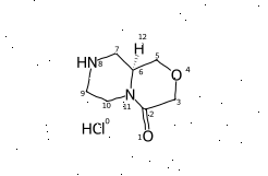 Cl.O=C1COC[C@@H]2CNCCN12